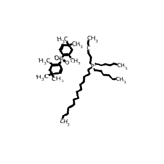 CC1=C(P(=O)([O-])C2=C(C)CC(C)(C)C=C2)C=CC(C)(C)C1.CCCCCCCCCCCCCC[P+](CCCCCC)(CCCCCC)CCCCCC